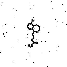 NC(=O)OCCC1OCCCc2c(Br)cccc21